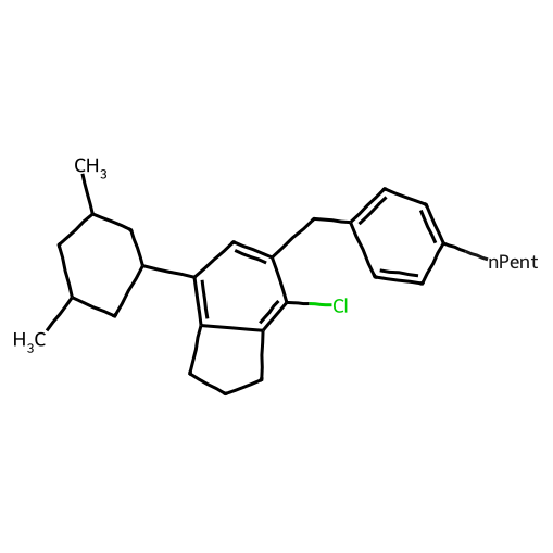 CCCCCc1ccc(Cc2cc(C3CC(C)CC(C)C3)c3c(c2Cl)CCC3)cc1